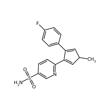 CC1C=C(c2ccc(F)cc2)C(c2ccc(S(N)(=O)=O)cn2)=C1